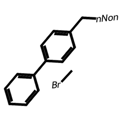 CBr.CCCCCCCCCCc1ccc(-c2ccccc2)cc1